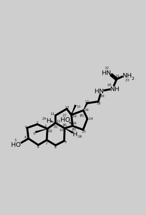 C[C@]12CCC(O)CC1CC[C@@H]1[C@@H]2CC[C@]2(C)[C@@H](CCNNC(=N)N)CC[C@@]12O